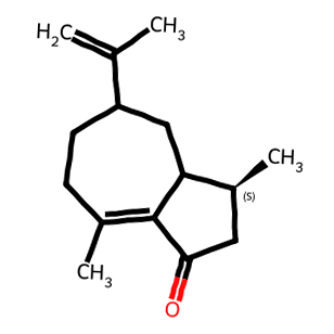 C=C(C)C1CCC(C)=C2C(=O)C[C@H](C)C2C1